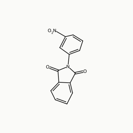 O=C1c2ccccc2C(=O)N1c1cccc([N+](=O)[O-])c1